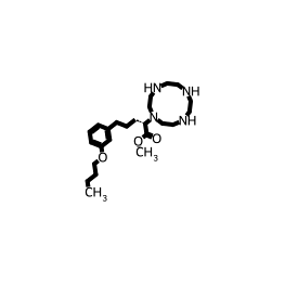 CCCCOc1cccc(CCC[C@@H](C(=O)OC)N2CCNCCNCCNCC2)c1